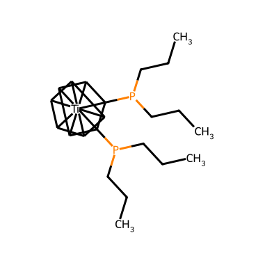 CCCP(CCC)[C]12[CH]3[CH]4[CH]5[C]1(P(CCC)CCC)[Ti]43521678[CH]2[CH]1[CH]6[CH]7[CH]28